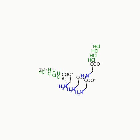 Cl.Cl.Cl.Cl.Cl.Cl.Cl.Cl.NCC(=O)[O-].NCC(=O)[O-].NCC(=O)[O-].NCC(=O)[O-].[Al].[Zr+4]